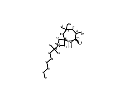 CCCCCCC(C)(C)N1CC2(C1)CC(C)(C)CC(C)C(=O)N2